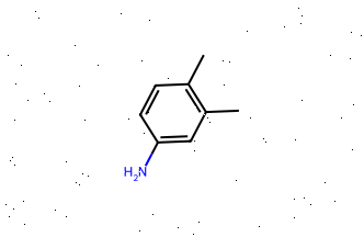 Cc1[c]c(N)ccc1C